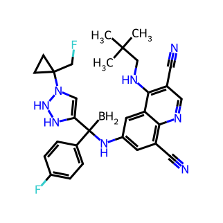 BC(Nc1cc(C#N)c2ncc(C#N)c(NCC(C)(C)C)c2c1)(C1=CN(C2(CF)CC2)NN1)c1ccc(F)cc1